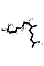 CC(N)CCCC(C)[C@@H](C)CNC/C=C\[C@@H](C)N